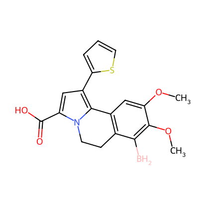 Bc1c2c(cc(OC)c1OC)-c1c(-c3cccs3)cc(C(=O)O)n1CC2